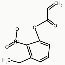 C=CC(=O)Oc1cccc(CC)c1[N+](=O)[O-]